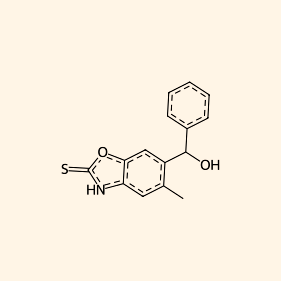 Cc1cc2[nH]c(=S)oc2cc1C(O)c1ccccc1